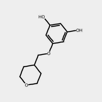 Oc1[c]c(OCC2CCOCC2)cc(O)c1